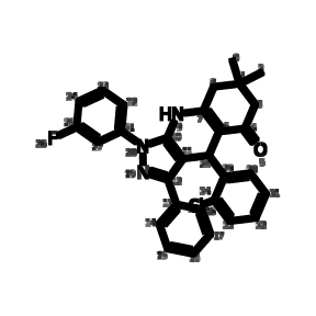 CC1(C)CC(=O)C2=C(C1)Nc1c(c(-c3ccccc3)nn1-c1cccc(F)c1)C2c1ccccc1Cl